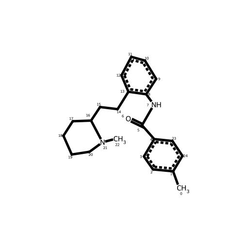 Cc1ccc(C(=O)Nc2ccccc2CCC2CCCCN2C)cc1